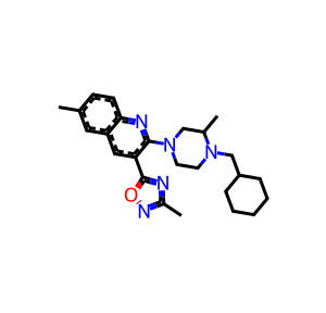 Cc1ccc2nc(N3CCN(CC4CCCCC4)C(C)C3)c(-c3nc(C)no3)cc2c1